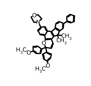 COc1ccc(C2(c3ccc(OC)cc3)C=Cc3c4c(c5cc(N6CCOCC6)ccc5c3O2)-c2ccc(-c3ccccc3)cc2C4(C)C)cc1